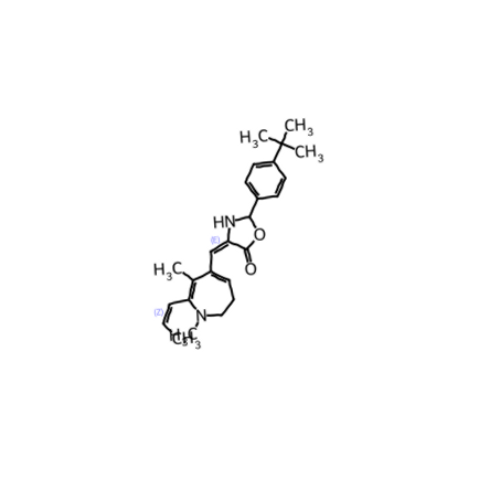 C/C=C\C1=C(C)C(/C=C2/NC(c3ccc(C(C)(C)C)cc3)OC2=O)=CCCN1C